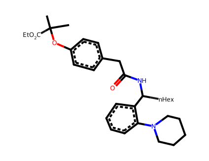 CCCCCCC(NC(=O)Cc1ccc(OC(C)(C)C(=O)OCC)cc1)c1ccccc1N1CCCCC1